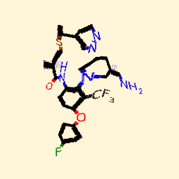 C=C(S/C=C(\C)C(=O)Nc1ccc(Oc2ccc(F)cc2)c(C(F)(F)F)c1N1CCC/C(=C/N)C1)c1ccnnc1